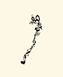 C#CCOCCOCCOCCOCCN1CCN(CCCN[C@H]2CCN(c3nc4cc([C@H]5/C=C(\C(=O)c6cc(Cl)ccc6N[S+](C)[O-])CCCCC5)nn4cc3C)C2)CC1